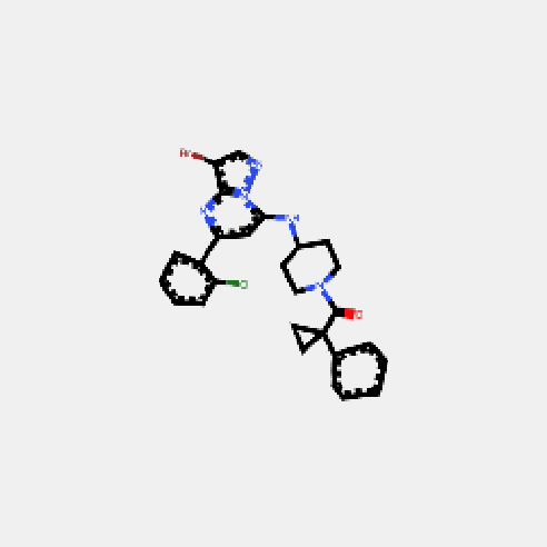 O=C(N1CCC(Nc2cc(-c3ccccc3Cl)nc3c(Br)cnn23)CC1)C1(c2ccccc2)CC1